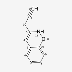 C#CCC1=Cc2ccccc2ON1